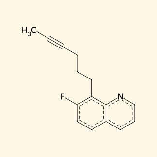 CC#CCCCc1c(F)ccc2cccnc12